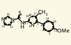 COc1ccc(-c2nc(NC(=S)n3ccnc3)sc2C)cc1